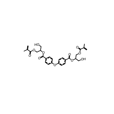 C=C(C)C(=O)OCC(CO)OC(=O)c1ccc(Oc2ccc(C(=O)OC(CO)COC(=O)C(=C)C)cc2)cc1